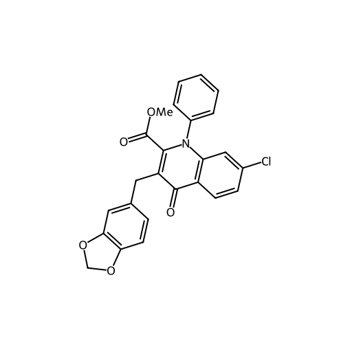 COC(=O)c1c(Cc2ccc3c(c2)OCO3)c(=O)c2ccc(Cl)cc2n1-c1ccccc1